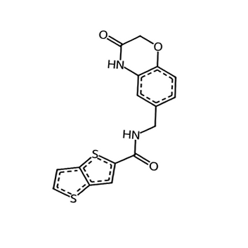 O=C1COc2ccc(CNC(=O)c3cc4sccc4s3)cc2N1